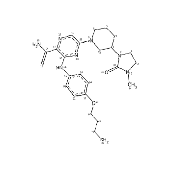 CN1CCN(C2CCCN(c3cnc(C(N)=O)c(Nc4ccc(OCCCN)cc4)n3)C2)C1=O